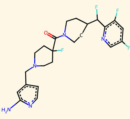 Nc1cc(CN2CCC(F)(C(=O)N3CCC(C(F)c4ncc(F)cc4F)CC3)CC2)ccn1